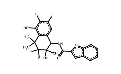 CC1(C)c2c(cc(F)c(F)c2O)C(NC(=O)c2cc3ccccc3o2)C(C)(O)C1(F)F